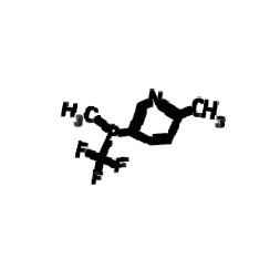 Cc1ccc(P(C)C(F)(F)F)cn1